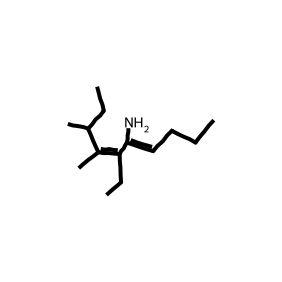 CCC/C=C(N)/C(CC)=C(/C)C(C)CC